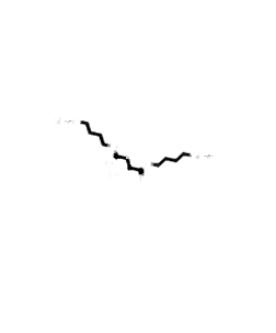 CCCCCCCCCCCCCCOC(=O)CC(O)C(=O)OCCCCCCCCCCCCCC